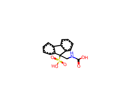 O=C(O)NCC1(S(=O)(=O)O)c2ccccc2-c2ccccc21